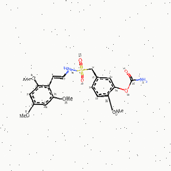 COc1cc(OC)c(C=CNS(=O)(=O)Cc2ccc(OC)c(OC(N)=O)c2)c(OC)c1